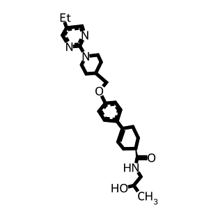 CCc1cnc(N2CCC(COc3ccc(C4=CC[C@H](C(=O)NCC(C)O)CC4)cc3)CC2)nc1